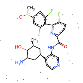 C[C@H]1C[C@@H](c2ccncc2NC(=O)c2ccc(F)c(-c3c(F)cc([S+](C)[O-])cc3F)n2)C[C@@H](N)[C@@H]1O